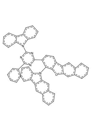 c1ccc(-c2nc(-c3ccc4c(oc5cc6ccccc6cc54)c3-n3c4ccccc4c4cc5ccccc5cc43)nc(-n3c4ccccc4c4ccccc43)n2)cc1